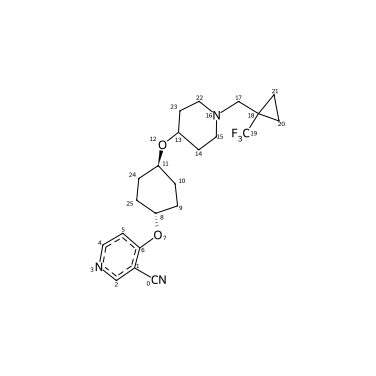 N#Cc1cnccc1O[C@H]1CC[C@H](OC2CCN(CC3(C(F)(F)F)CC3)CC2)CC1